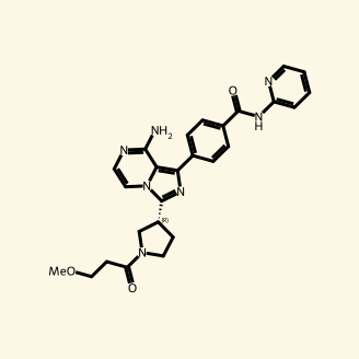 COCCC(=O)N1CC[C@@H](c2nc(-c3ccc(C(=O)Nc4ccccn4)cc3)c3c(N)nccn23)C1